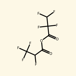 O=C(OC(=O)C(F)(F)C(F)F)C(F)C(F)(F)F